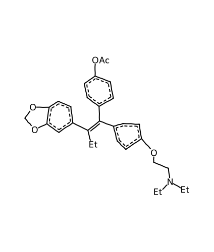 CCC(=C(c1ccc(OCCN(CC)CC)cc1)c1ccc(OC(C)=O)cc1)c1ccc2c(c1)OCO2